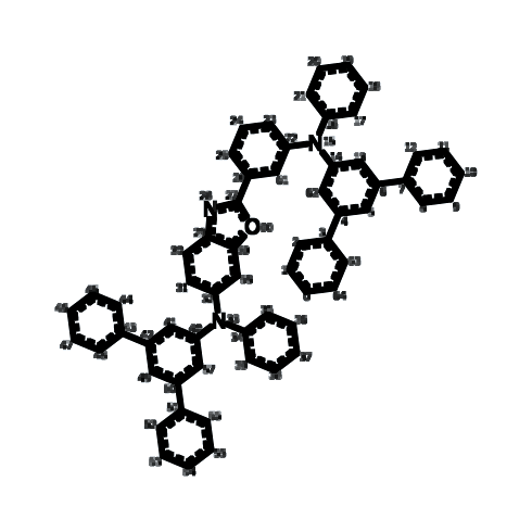 c1ccc(-c2cc(-c3ccccc3)cc(N(c3ccccc3)c3cccc(-c4nc5ccc(N(c6ccccc6)c6cc(-c7ccccc7)cc(-c7ccccc7)c6)cc5o4)c3)c2)cc1